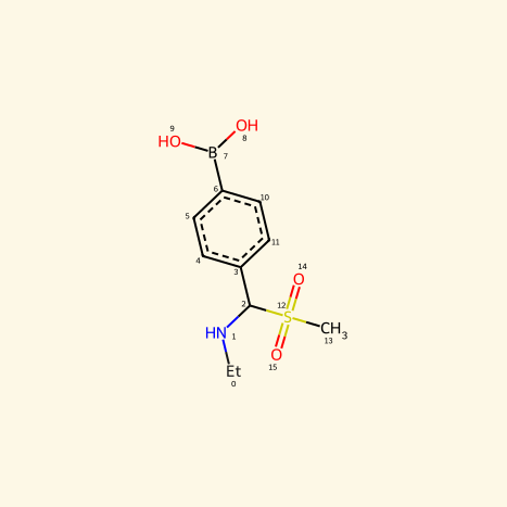 CCNC(c1ccc(B(O)O)cc1)S(C)(=O)=O